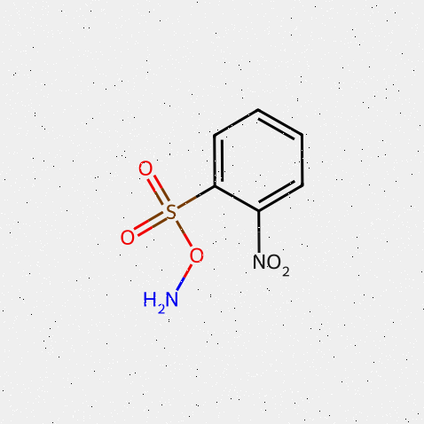 NOS(=O)(=O)c1ccccc1[N+](=O)[O-]